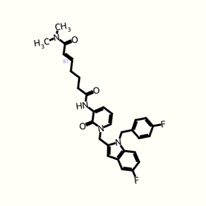 CN(C)C(=O)/C=C/CCCC(=O)Nc1cccn(Cc2cc3cc(F)ccc3n2Cc2ccc(F)cc2)c1=O